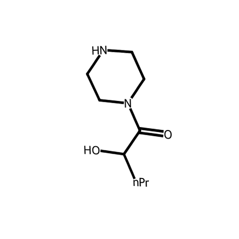 CCCC(O)C(=O)N1CCNCC1